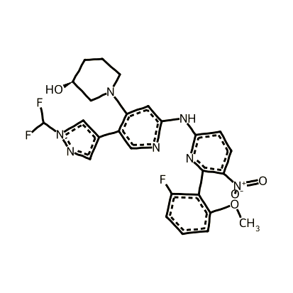 COc1cccc(F)c1-c1nc(Nc2cc(N3CCC[C@H](O)C3)c(-c3cnn(C(F)F)c3)cn2)ccc1[N+](=O)[O-]